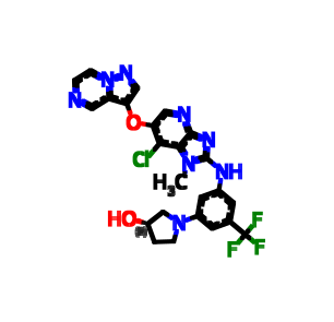 Cn1c(Nc2cc(N3CC[C@@H](O)C3)cc(C(F)(F)F)c2)nc2ncc(Oc3cnn4ccncc34)c(Cl)c21